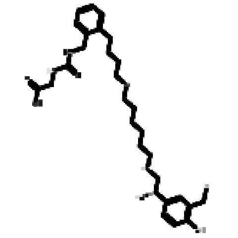 O=C(O)CNC(=O)NCc1ccccc1CCCCOCCCCCCNC[C@@H](O)c1ccc(O)c(CO)c1